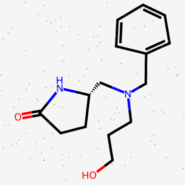 O=C1CC[C@@H](CN(CCCO)Cc2ccccc2)N1